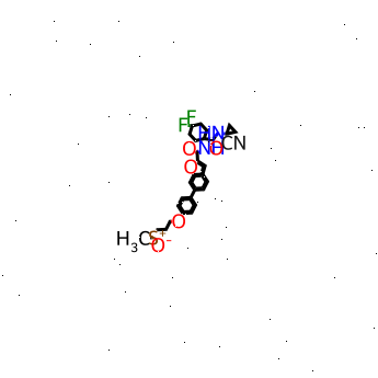 C[S+]([O-])CCCOc1ccc(-c2ccc3cc(C(=O)NC4(C(=O)NC5(C#N)CC5)CCC(F)(F)CC4)oc3c2)cc1